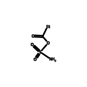 CCC(=O)OS(N)(=O)=O